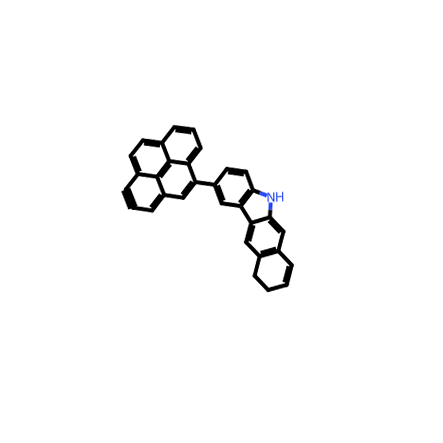 c1cc2cc(-c3ccc4[nH]c5cc6c(cc5c4c3)CCC=C6)c3cccc4ccc(c#1)c2c43